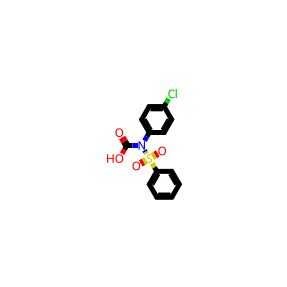 O=C(O)N(c1ccc(Cl)cc1)S(=O)(=O)c1ccccc1